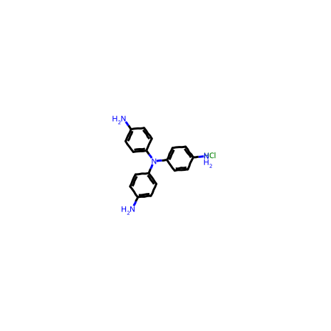 Cl.Nc1ccc(N(c2ccc(N)cc2)c2ccc(N)cc2)cc1